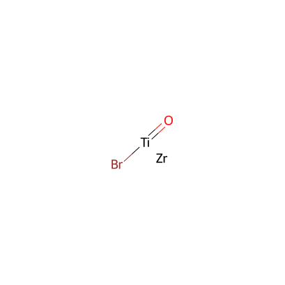 [O]=[Ti][Br].[Zr]